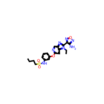 CCCCS(=O)(=O)Nc1cccc(Oc2cc3c(cn2)nc(-c2nonc2N)n3CC)c1